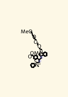 COCCOCCOCCOCCN1C=C/C(=C\C(=C\c2sc3ccccc3[n+]2C)c2ccc(C(=O)OC)cc2)c2ccccc21